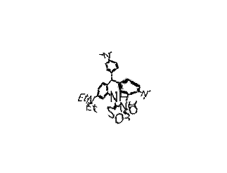 CCN(CC)c1ccc(C(c2ccc(N(C)C)cc2)c2ccc(N(C)C)cc2)c(NC(=S)NS(C)(=O)=O)c1